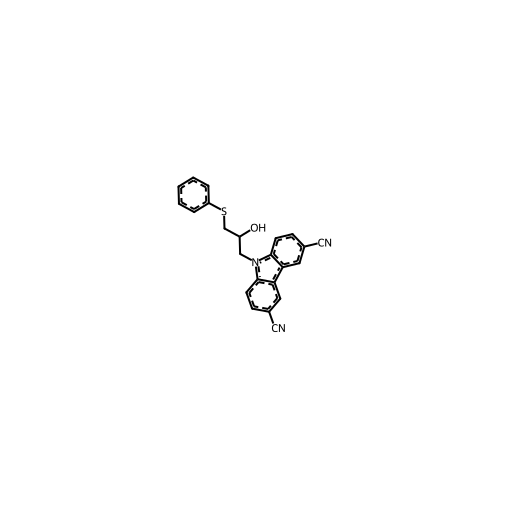 N#Cc1ccc2c(c1)c1cc(C#N)ccc1n2CC(O)CSc1ccccc1